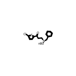 CCCCN(CCC(=O)c1ccc(Cl)s1)Cc1ccccc1